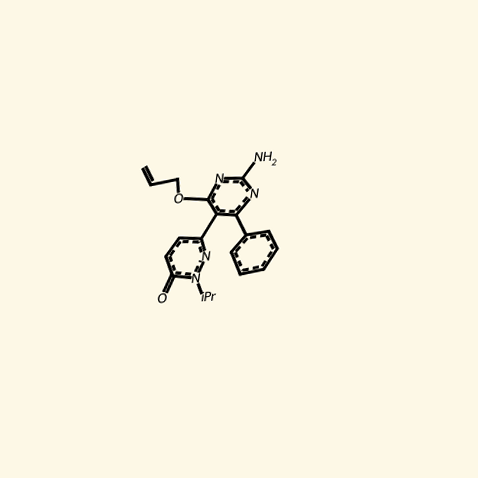 C=CCOc1nc(N)nc(-c2ccccc2)c1-c1ccc(=O)n(C(C)C)n1